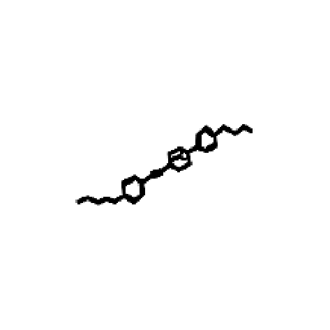 CCCCCc1ccc(C#CC23CCC(c4ccc(CCCC)cc4)(CC2)CC3)cc1